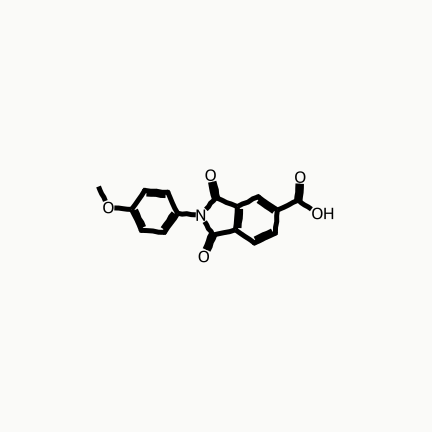 COc1ccc(N2C(=O)c3ccc(C(=O)O)cc3C2=O)cc1